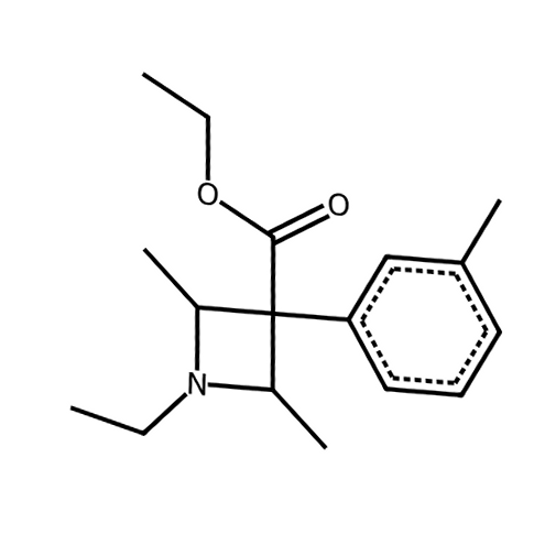 CCOC(=O)C1(c2cccc(C)c2)C(C)N(CC)C1C